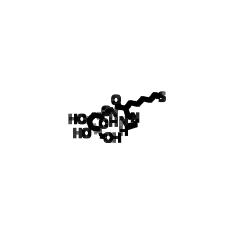 O=C(NO[C@@H]1C[C@@H](O)[C@H](O)[C@@H](CO)O1)C(CCCCC=S)c1ncc[nH]1